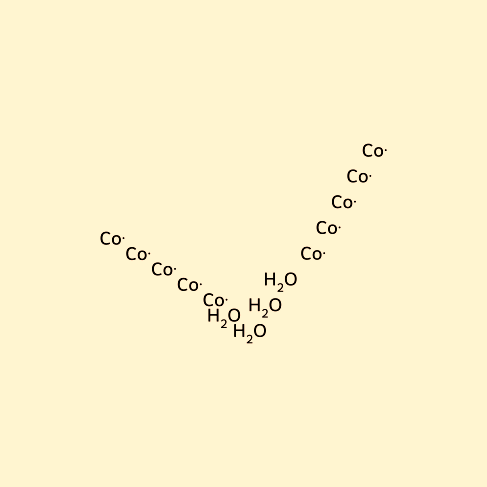 O.O.O.O.[Co].[Co].[Co].[Co].[Co].[Co].[Co].[Co].[Co].[Co]